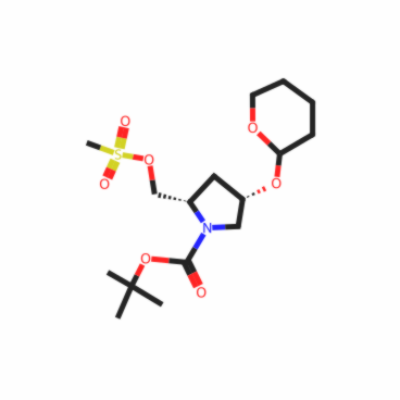 CC(C)(C)OC(=O)N1C[C@@H](OC2CCCCO2)C[C@H]1COS(C)(=O)=O